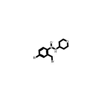 [O-][S+](NC1CCOCC1)c1ccc(Br)cc1CBr